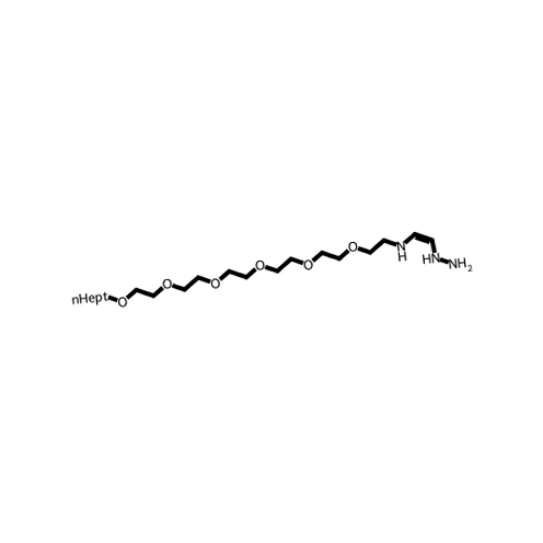 CCCCCCCOCCOCCOCCOCCOCCOCCN/C=C\NN